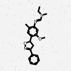 CCN(C)/C=N/c1cc(OC)c(C2CC(c3ccccc3)=NO2)cc1C